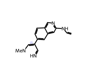 C=CNc1cc2cc(/C(C=N)=C/NC)ccc2cn1